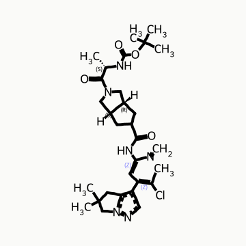 C=N/C(=C\C(=C(/C)Cl)c1cnn2c1CC(C)(C)C2)NC(=O)C1C[C@@H]2CN(C(=O)[C@H](C)NC(=O)OC(C)(C)C)C[C@@H]2C1